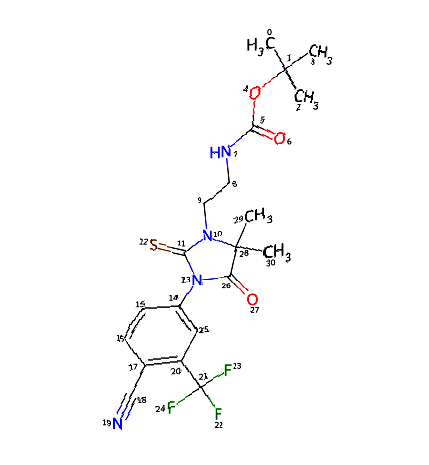 CC(C)(C)OC(=O)NCCN1C(=S)N(c2ccc(C#N)c(C(F)(F)F)c2)C(=O)C1(C)C